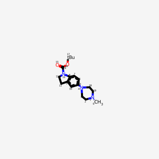 CN1CCN(c2ccc3c(c2)CCN3C(=O)OC(C)(C)C)CC1